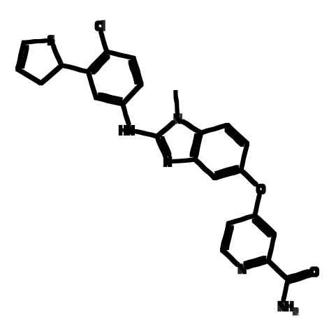 Cn1c(Nc2ccc(Cl)c(C3CC=CS3)c2)nc2cc(Oc3ccnc(C(N)=O)c3)ccc21